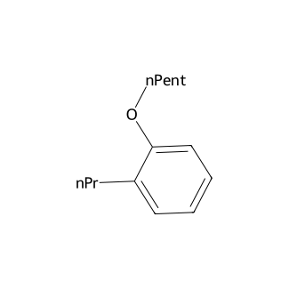 CCCCCOc1ccccc1CCC